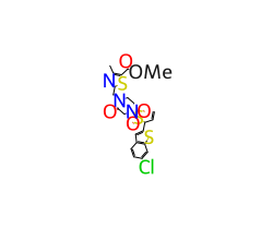 C=CC(c1cc2ccc(Cl)cc2s1)S(=O)(=O)N1CCN(Cc2nc(C)c(C(=O)OC)s2)C(=O)C1